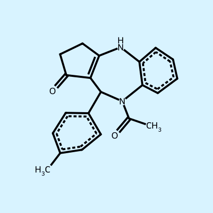 CC(=O)N1c2ccccc2NC2=C(C(=O)CC2)C1c1ccc(C)cc1